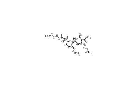 CCCn1cc(C)c2c(=O)[nH]c(-c3cc(S(=O)(=O)NCCCCO)ccc3OCC)nc21